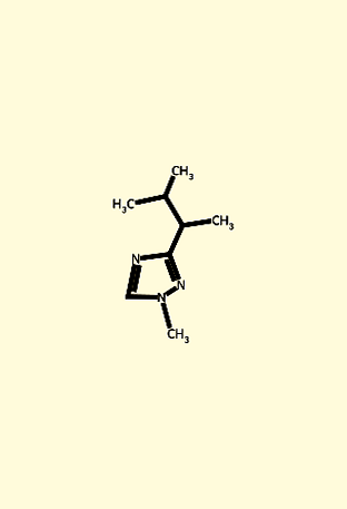 CC(C)C(C)c1ncn(C)n1